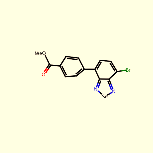 COC(=O)c1ccc(-c2ccc(Br)c3n[se]nc23)cc1